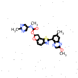 COc1cnc2c(-c3nc4ccc5c(c4s3)C[C@H](OC(=O)N(C)c3cnc(C)nc3)O5)cc(C)cc2n1